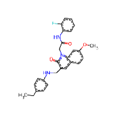 CCc1ccc(NCc2cc3ccc(OC)cc3n(CC(=O)Nc3ccccc3F)c2=O)cc1